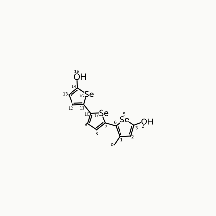 Cc1cc(O)[se]c1-c1ccc(-c2ccc(O)[se]2)[se]1